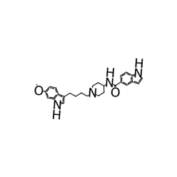 COc1ccc2c(CCCCN3CCC(NC(=O)c4ccc5[nH]ccc5c4)CC3)c[nH]c2c1